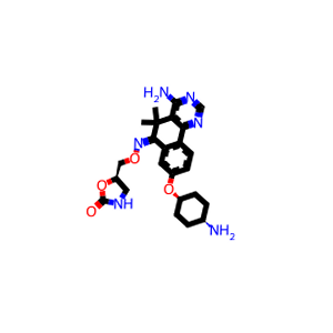 CC1(C)/C(=N/OC[C@H]2CNC(=O)O2)c2cc(O[C@H]3CC[C@H](N)CC3)ccc2-c2ncnc(N)c21